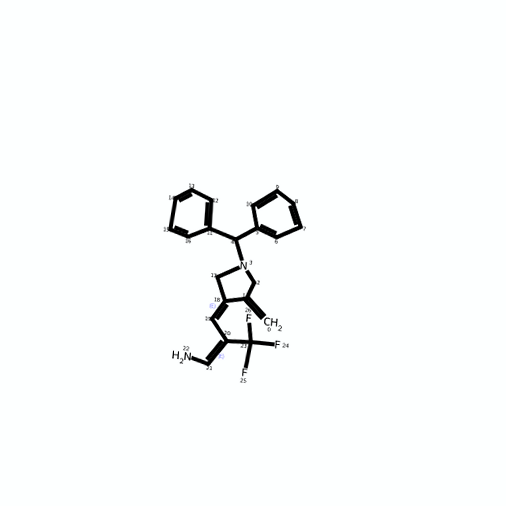 C=C1CN(C(c2ccccc2)c2ccccc2)C/C1=C/C(=C\N)C(F)(F)F